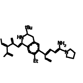 C=C/C(=C\C=C(/N)N1CCCC1)c1cc2c(cc1CC)/C(=C/C(=C)/C(=C\C)C(=C)C)NC(C(C)(C)C)C2